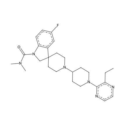 CCc1nccnc1N1CCC(N2CCC3(CC2)CN(C(=O)N(C)C)c2ccc(F)cc23)CC1